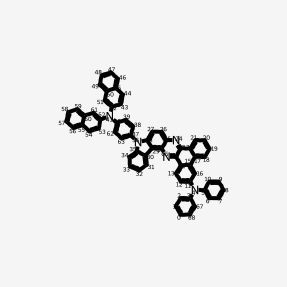 c1ccc(N(c2ccccc2)c2ccc3c(c2)c2ccccc2c2nc4ccc5c(c6ccccc6n5-c5ccc(N(c6ccc7ccccc7c6)c6ccc7ccccc7c6)cc5)c4nc32)cc1